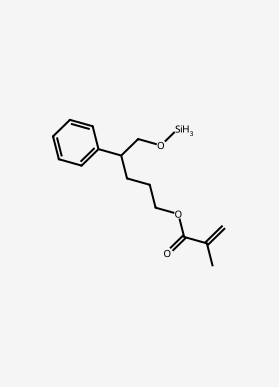 C=C(C)C(=O)OCCCC(CO[SiH3])c1ccccc1